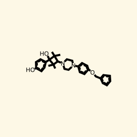 CC1(C)C(N2CCN(c3ccc(OCc4ccccc4)cc3)CC2)C(C)(C)C1(O)c1ccc(O)cc1